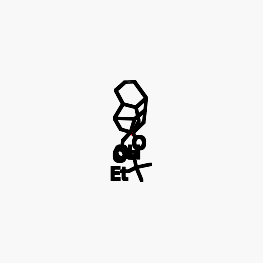 CCC(C)(C)C(=O)OC12CC3C(CCO)C(C1)C1CCCC3C1C2